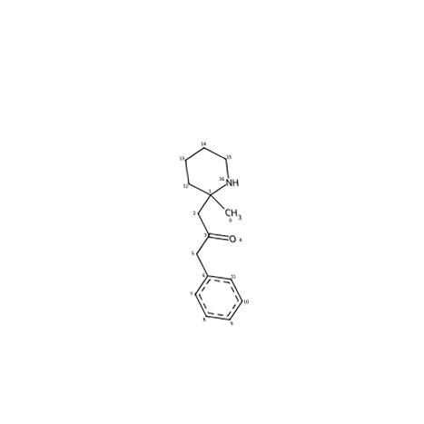 CC1(CC(=O)Cc2ccccc2)CCCCN1